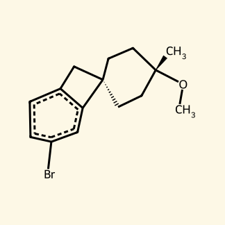 CO[C@]1(C)CC[C@@]2(CC1)Cc1ccc(Br)cc12